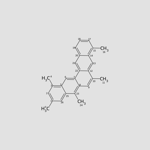 Cc1cc(C)c2cc3c(cc(C)c4cc5c(C)cccc5cc43)c(C)c2c1